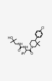 CC(C)C(NC(=O)NCC(C)(C)O)C(=O)N1CCC(c2ccc(Cl)cc2)C(C)(C)C1